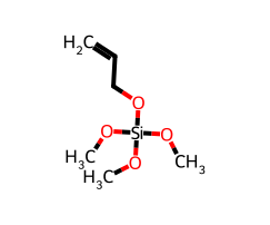 C=CCO[Si](OC)(OC)OC